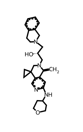 C=C1c2cc(NC3CCOCC3)ncc2C2(CC2)CN1C[C@H](O)CN1CCc2ccccc2C1